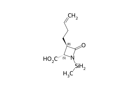 C=CCC[C@H]1C(=O)N([SiH2]C)[C@@H]1C(=O)O